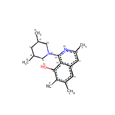 Cc1cc2cc(C)c(C#N)c(O)c2c(N2CC(C)CC(C)C2)n1